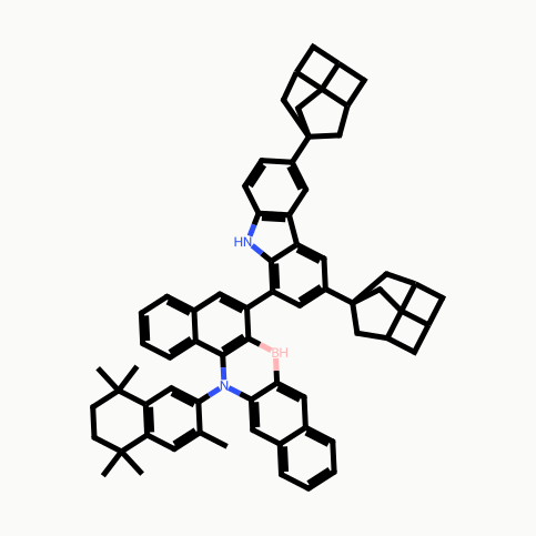 Cc1cc2c(cc1N1c3cc4ccccc4cc3Bc3c(-c4cc(C56CC7CC8CC(C5)C87C6)cc5c4[nH]c4ccc(C67CC8CC9CC(C6)C98C7)cc45)cc4ccccc4c31)C(C)(C)CCC2(C)C